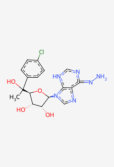 CC(O)(c1ccc(Cl)cc1)[C@H]1O[C@@H](n2cnc3c(=NN)nc[nH]c32)[C@H](O)[C@@H]1O